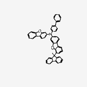 CC1(c2cccc3c2oc2cc(N(c4ccc(-c5ccccc5)cc4)c4ccc5c(c4)oc4ccccc45)ccc23)c2ccccc2-c2ccccc21